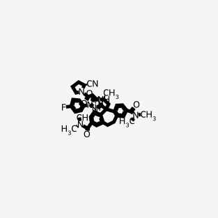 C[C@H](CC1(c2nn(-c3ccc(F)cc3)c(=O)[nH]2)c2ccc(C(=O)N(C)C)cc2CCc2cc(C(=O)N(C)C)ccc21)NCC(=O)N1CCC[C@H]1C#N